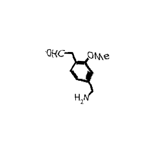 COc1cc(CN)ccc1C[C]=O